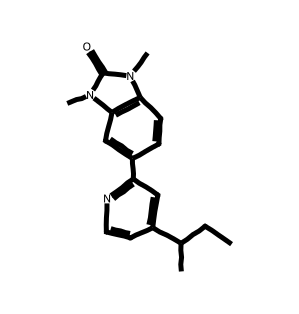 CCC(C)c1ccnc(-c2ccc3c(c2)n(C)c(=O)n3C)c1